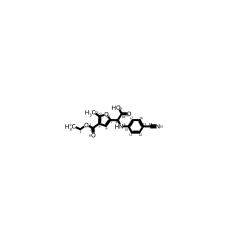 CCOC(=O)c1cc(C(Nc2ccc(C#N)cc2)C(=O)O)oc1C